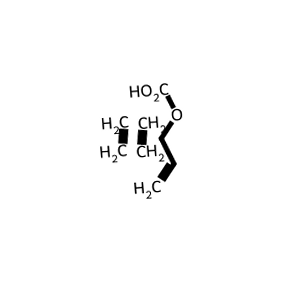 C=C.C=C.C=CCOC(=O)O